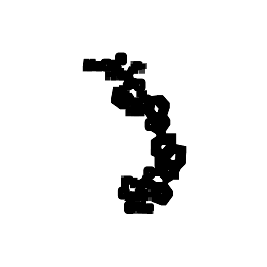 COC(=O)N[C@H](C(=O)N1CCC[C@H]1c1nc2ccc3nc(-c4cc5ccc6nc([C@@H]7CCCN7C(=O)[C@@H](NC(=O)OC)C(C)C)[nH]c6c5o4)ccc3c2[nH]1)C(C)C